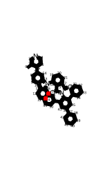 Cc1cnccc1-c1ccc2c3ccccc3n(-c3cccc4c3C(=O)N(c3c(-c5ccccc5)cc(-c5ccccc5)cc3-c3ccccc3)C4=O)c2c1